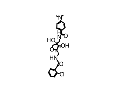 CN(C)c1ccc(C(=O)NC[C@]2(O)CO[C@H](CNC3OC3c3ccccc3Cl)[C@H]2O)cc1